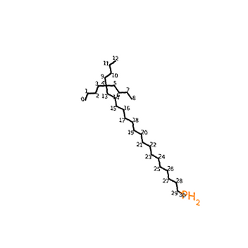 CCCCC(CCCC)(CCCC)CCCCCCCCCCCCCCCCCP